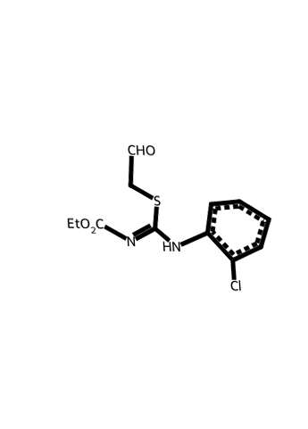 CCOC(=O)/N=C(/Nc1ccccc1Cl)SCC=O